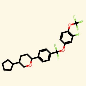 Fc1cc(OC(F)(F)c2ccc(C3CCC(C4CCCC4)CO3)cc2)ccc1OC(F)(F)F